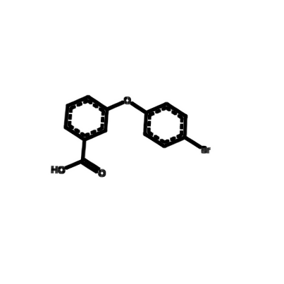 O=C(O)c1cccc(Oc2ccc(Br)cc2)c1